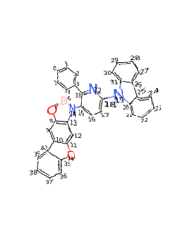 c1ccc2c(c1)B1Oc3cc4c(cc3N1c1ccc(-n3c5ccccc5c5ccccc53)nc1-2)oc1ccccc14